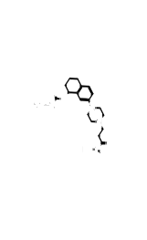 CCN(CC)C(=O)CCN1CCN(c2ccc3c(c2)C(OC(=O)NC)CCC3)CC1